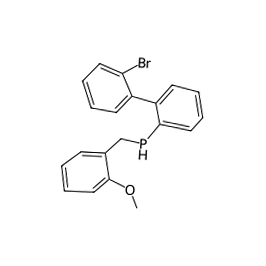 COc1ccccc1CPc1ccccc1-c1ccccc1Br